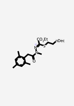 CCCCCCCCCCCCS/C(=N\N(C)C(=O)Cc1c(C)cc(C)cc1C)C(=O)OCC